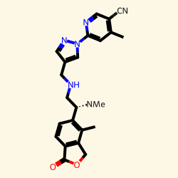 CN[C@@H](CNCc1cnn(-c2cc(C)c(C#N)cn2)c1)c1ccc2c(c1C)COC2=O